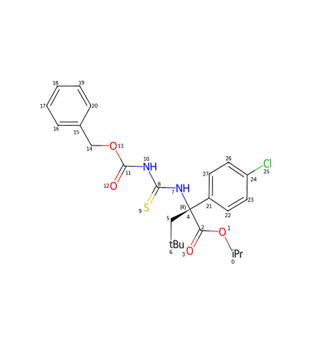 CC(C)OC(=O)[C@](CC(C)(C)C)(NC(=S)NC(=O)OCc1ccccc1)c1ccc(Cl)cc1